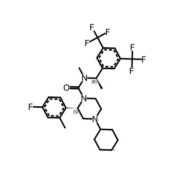 Cc1cc(F)ccc1[C@H]1CN(C2CC[CH]CC2)CCN1C(=O)N(C)[C@H](C)c1cc(C(F)(F)F)cc(C(F)(F)F)c1